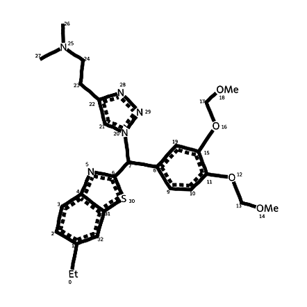 CCc1ccc2nc(C(c3ccc(OCOC)c(OCOC)c3)n3cc(CCN(C)C)nn3)sc2c1